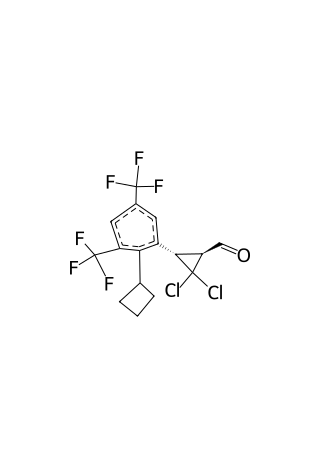 O=C[C@@H]1[C@@H](c2cc(C(F)(F)F)cc(C(F)(F)F)c2C2CCC2)C1(Cl)Cl